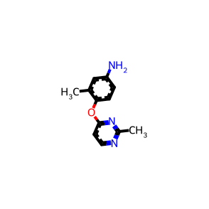 Cc1nccc(Oc2ccc(N)cc2C)n1